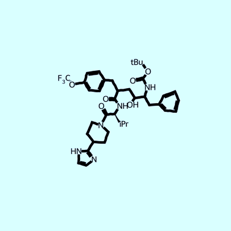 CC(C)[C@H](NC(=O)C(Cc1ccc(OC(F)(F)F)cc1)CC(O)C(Cc1ccccc1)NC(=O)OC(C)(C)C)C(=O)N1CCC(c2ncc[nH]2)CC1